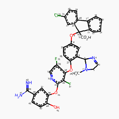 CN1CC=NC1c1cc(OC2(C(=O)O)c3ccccc3-c3ccc(Cl)cc32)ccc1Oc1c(F)cnc(Oc2cc(C(=N)N)ccc2O)c1F